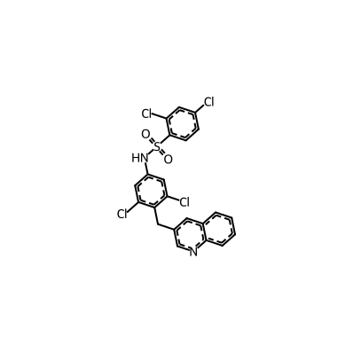 O=S(=O)(Nc1cc(Cl)c(Cc2cnc3ccccc3c2)c(Cl)c1)c1ccc(Cl)cc1Cl